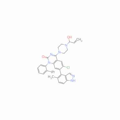 C=CC(O)N1CCN(c2nc(=O)n(-c3ccccc3C(C)C)c3cc(-c4c(C)ccc5[nH]ncc45)c(Cl)cc23)CC1